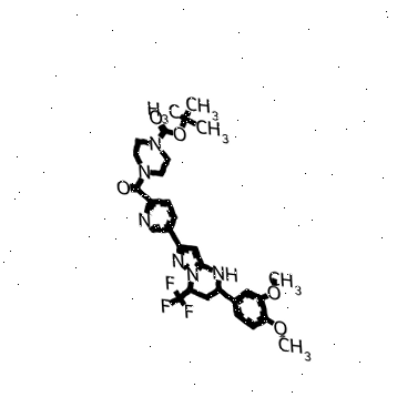 COc1ccc(C2CC(C(F)(F)F)n3nc(-c4ccc(C(=O)N5CCN(C(=O)OC(C)(C)C)CC5)nc4)cc3N2)cc1OC